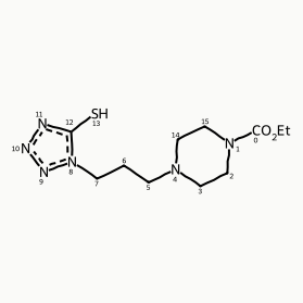 CCOC(=O)N1CCN(CCCn2nnnc2S)CC1